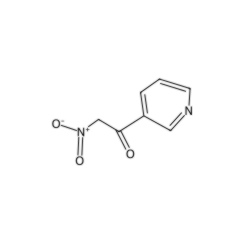 O=C(C[N+](=O)[O-])c1cccnc1